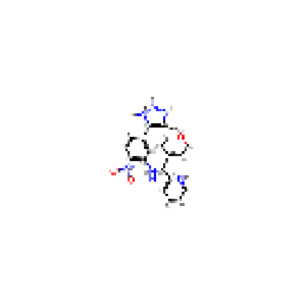 Cc1nnn(C)c1-c1ccc([N+](=O)[O-])c(NC(c2ccccn2)C2CCOCC2)c1